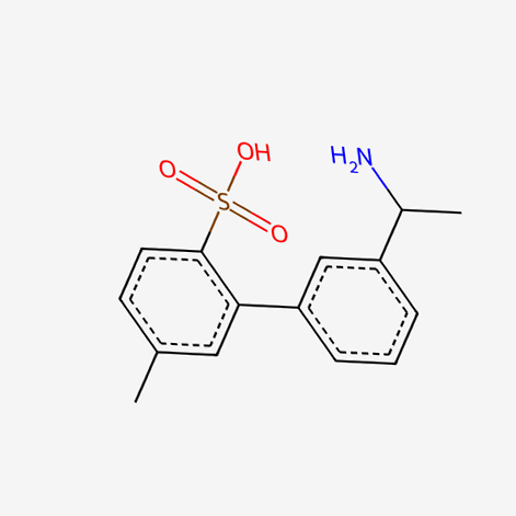 Cc1ccc(S(=O)(=O)O)c(-c2cccc(C(C)N)c2)c1